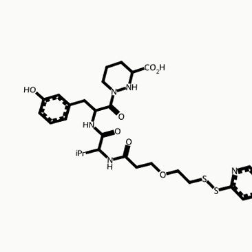 CC(C)C(NC(=O)CCOCCSSc1ccccn1)C(=O)NC(Cc1cccc(O)c1)C(=O)N1CCCC(C(=O)O)N1